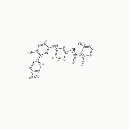 CC(=O)Nc1ccc(-c2nc(Nc3cccc(NC(=O)c4c(Cl)cccc4Cl)c3)ncc2F)cc1